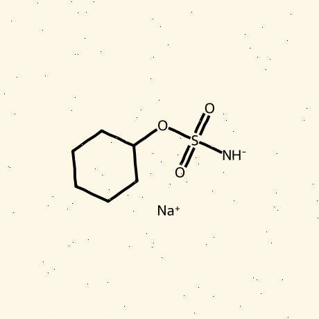 [NH-]S(=O)(=O)OC1CCCCC1.[Na+]